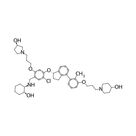 Cc1c(OCCCN2CCC(O)CC2)cccc1-c1cccc2c1CC[C@@H]2Oc1cc(OCCCN2CC[C@@H](O)C2)c(CN[C@@H]2CCCC[C@@H]2O)cc1Cl